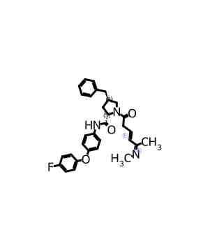 C/N=C(C)\C=C\CC(=O)N1C[C@H](Cc2ccccc2)C[C@H]1C(=O)Nc1ccc(Oc2ccc(F)cc2)cc1